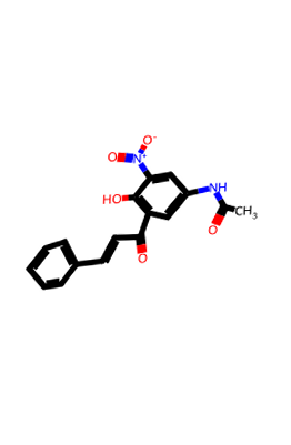 CC(=O)Nc1cc(C(=O)/C=C/c2ccccc2)c(O)c([N+](=O)[O-])c1